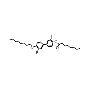 CCCCCCCCOc1ccc(-c2ccc(OC(=O)CCCCCCC)c(F)c2)cc1F